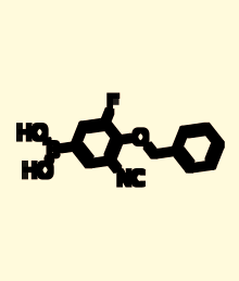 [C-]#[N+]c1cc(B(O)O)cc(F)c1OCc1ccccc1